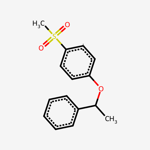 CC(Oc1c[c]c(S(C)(=O)=O)cc1)c1ccccc1